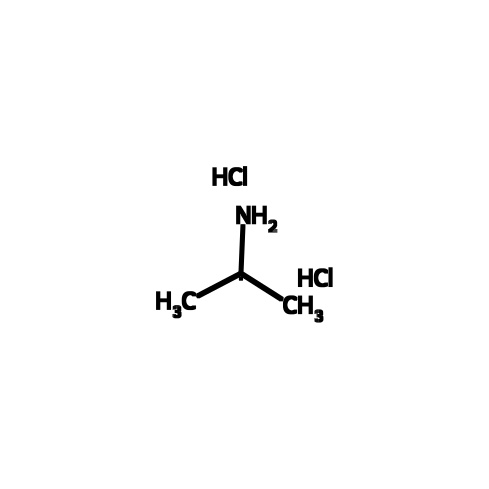 C[C](C)N.Cl.Cl